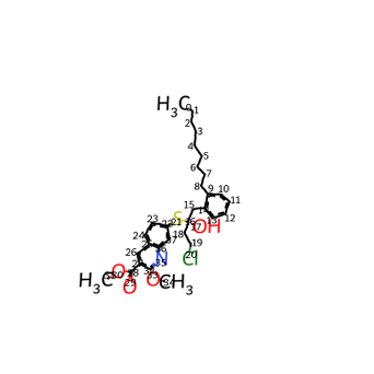 CCCCCCCCCc1ccccc1C[C@@](O)(CCCl)Sc1ccc2cc(C(=O)OC)c(OC)nc2c1